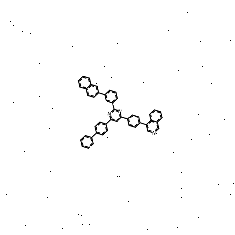 c1ccc(-c2ccc(-c3cc(-c4ccc(-c5cncc6ccccc56)cc4)nc(-c4cccc(-c5ccc6ccccc6c5)c4)n3)cc2)cc1